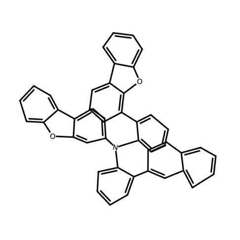 c1ccc(N(c2ccc3c(c2)oc2ccccc23)c2ccccc2-c2cccc3c2oc2ccccc23)c(-c2ccc3ccccc3c2)c1